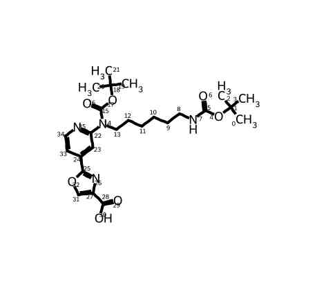 CC(C)(C)OC(=O)NCCCCCCN(C(=O)OC(C)(C)C)c1cc(-c2nc(C(=O)O)co2)ccn1